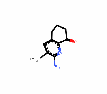 CCOC(=O)c1cc2c(nc1N)C(=O)CCC2